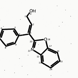 OCC=C(c1ccccc1)c1nc2ccccc2o1